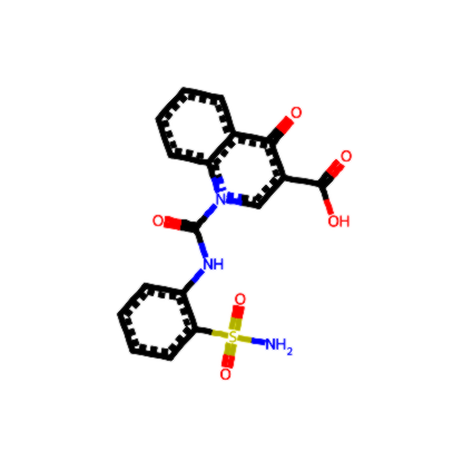 NS(=O)(=O)c1ccccc1NC(=O)n1cc(C(=O)O)c(=O)c2ccccc21